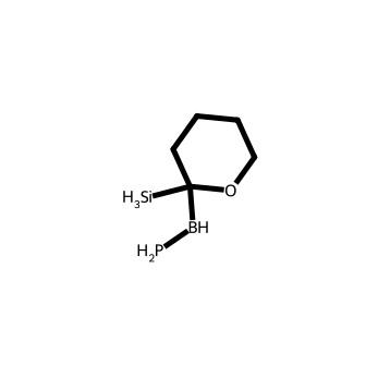 [SiH3]C1(BP)CCCCO1